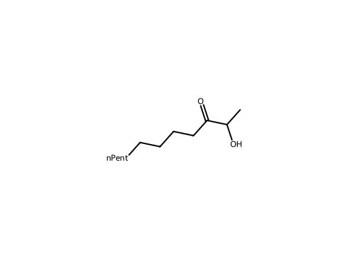 CCCCCCCCCC(=O)C(C)O